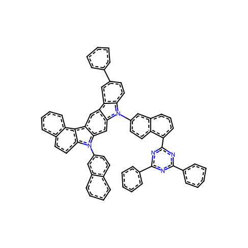 c1ccc(-c2ccc3c(c2)c2cc4c5c6ccccc6ccc5n(-c5ccc6ccccc6c5)c4cc2n3-c2ccc3c(-c4nc(-c5ccccc5)nc(-c5ccccc5)n4)cccc3c2)cc1